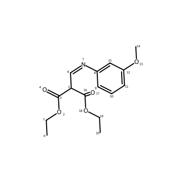 CCOC(=O)C(/C=N\c1cccc(OC)c1)C(=O)OCC